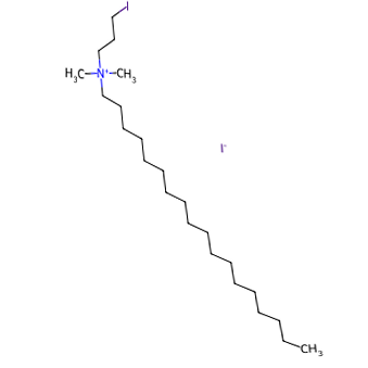 CCCCCCCCCCCCCCCCCC[N+](C)(C)CCCI.[I-]